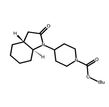 CC(C)(C)OC(=O)N1CCC(N2C(=O)C[C@H]3CCCC[C@@H]32)CC1